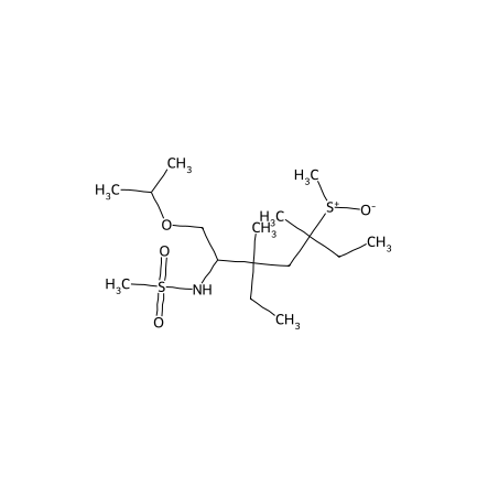 CCC(C)(CC(C)(CC)[S+](C)[O-])C(COC(C)C)NS(C)(=O)=O